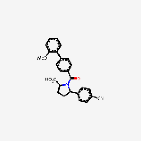 COc1ccccc1-c1ccc(C(=O)N2C(c3ccc(C#N)cc3)CC[C@H]2C(=O)O)cc1